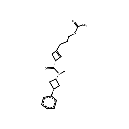 CN(C(=O)[C@H]1C=C(CCCOC(N)=O)C1)[C@H]1C[C@H](c2ccccc2)C1